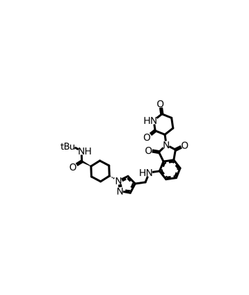 CC(C)(C)NC(=O)[C@H]1CC[C@H](n2cc(CNc3cccc4c3C(=O)N(C3CCC(=O)NC3=O)C4=O)cn2)CC1